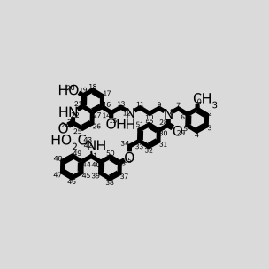 Cc1ccccc1CN(CCCNCC(O)c1ccc(O)c2[nH]c(=O)ccc12)C(=O)c1ccc(COc2cccc([C@@H](NC(=O)O)c3ccccc3)c2)cc1